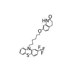 O=C1CCc2ccc(OCCCCCCN3c4ccccc4Sc4ccc(C(F)(F)F)cc43)cc2N1